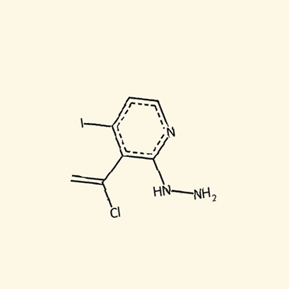 C=C(Cl)c1c(I)ccnc1NN